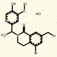 CCOc1cc(C(C)N2CCc3c(Br)cc(CCl)cc3C2=O)ncc1C#N.Cl